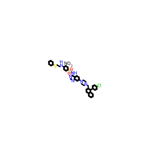 O=[N+]([O-])c1cc(S(=O)(=O)Nc2ncnc3cc(N4CCN(Cc5ccc6ccccc6c5-c5ccc(Cl)cc5)CC4)ccc23)ccc1NCCSc1ccccc1